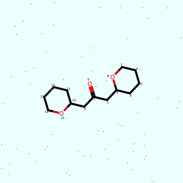 O=C(CC1CCCCO1)CC1CCCCO1